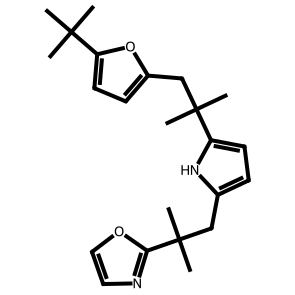 CC(C)(C)c1ccc(CC(C)(C)c2ccc(CC(C)(C)c3ncco3)[nH]2)o1